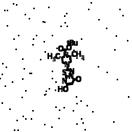 C[C@@H]1CN(c2nn3c(=O)cc(O)nc3s2)C[C@H](C)N1C(=O)OC(C)(C)C